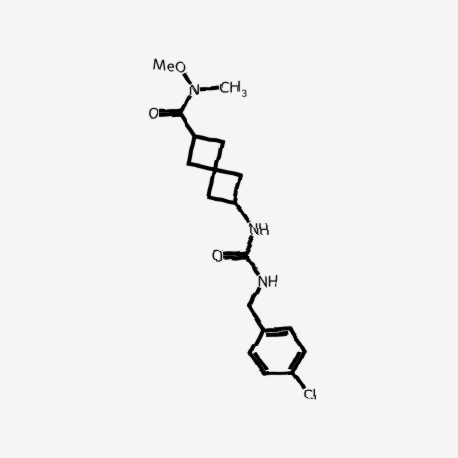 CON(C)C(=O)C1CC2(CC(NC(=O)NCc3ccc(Cl)cc3)C2)C1